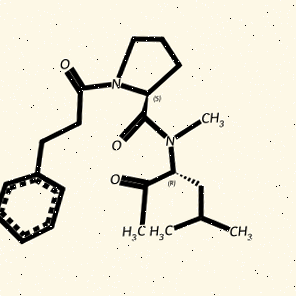 CC(=O)[C@@H](CC(C)C)N(C)C(=O)[C@@H]1CCCN1C(=O)CCc1ccccc1